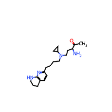 CC(=O)C(N)CCN(CCCCc1ccc2c(n1)NCCC2)C1CC1